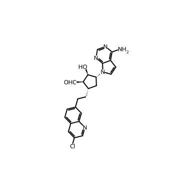 Nc1ncnc2c1ccn2[C@@H]1C[C@H](CCc2ccc3cc(Cl)cnc3c2)[C@@H](C=O)[C@H]1O